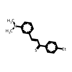 CCc1ccc(C(=S)C=Cc2cccc(N(C)C)c2)cc1